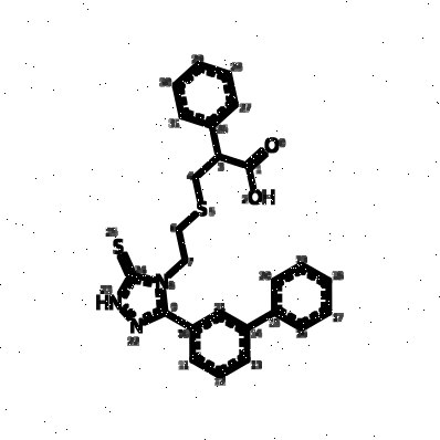 O=C(O)C(CSCCn1c(-c2cccc(-c3ccccc3)c2)n[nH]c1=S)c1ccccc1